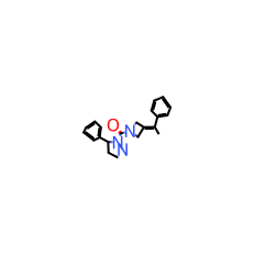 CC(=C1CN(C(=O)N2N=CCC2c2ccccc2)C1)c1ccccc1